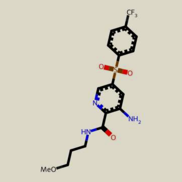 COCCCNC(=O)c1ncc(S(=O)(=O)c2ccc(C(F)(F)F)cc2)cc1N